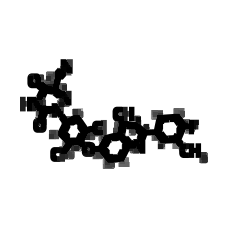 Cc1cc(-c2cc(C)c3cc(Oc4c(Cl)cc(-n5nc(C#N)c(=O)[nH]c5=O)cc4Cl)ccc3n2)ccc1F